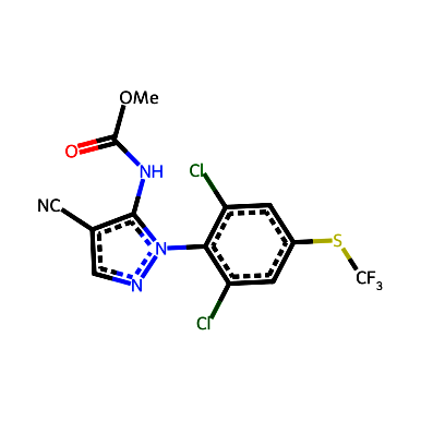 COC(=O)Nc1c(C#N)cnn1-c1c(Cl)cc(SC(F)(F)F)cc1Cl